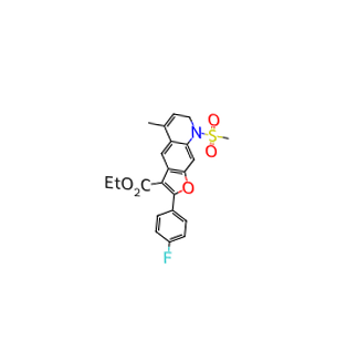 CCOC(=O)c1c(-c2ccc(F)cc2)oc2cc3c(cc12)C(C)=CCN3S(C)(=O)=O